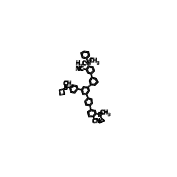 CB(c1ccc(-c2cc(-c3ccc(-c4ccc(C#N)c(B(C)C5CC5)c4)cc3)cc(-c3cccc(-c4ccc([Si](C)(C)c5ccccc5)c(C#N)c4)c3)c2)cc1)C1CCC1